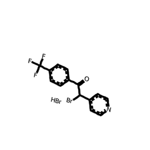 Br.O=C(c1ccc(C(F)(F)F)cc1)C(Br)c1ccncc1